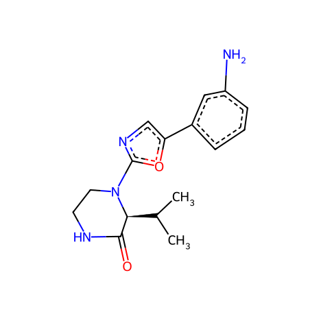 CC(C)[C@H]1C(=O)NCCN1c1ncc(-c2cccc(N)c2)o1